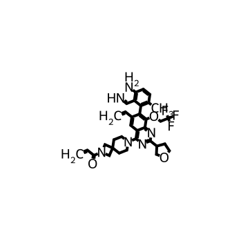 C=CC(=O)N1CC2(CCN(c3nc(C4CCOC4)nc4c(OCC(F)(F)F)c(-c5c(C)ccc(N)c5C=N)c(C=C)cc34)CC2)C1